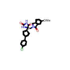 COc1ccc2c(c1)C(=O)N(C[C@@]1(c3ccc(-c4ccc(Cl)cc4)cc3)NC(=O)NC1=O)C2